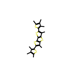 Cc1sc(-c2sc3c(sc4c(C)c(-c5sc(C)c(C)c5C)sc43)c2C)c(C)c1C